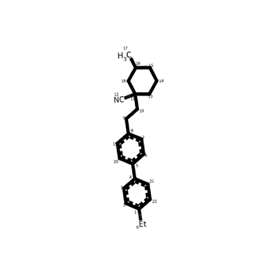 CCc1ccc(-c2ccc(CCC3(C#N)CCCC(C)C3)cc2)cc1